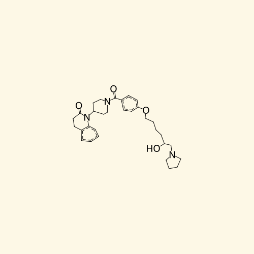 O=C(c1ccc(OCCCCC(O)CN2CCCC2)cc1)N1CCC(N2C(=O)CCc3ccccc32)CC1